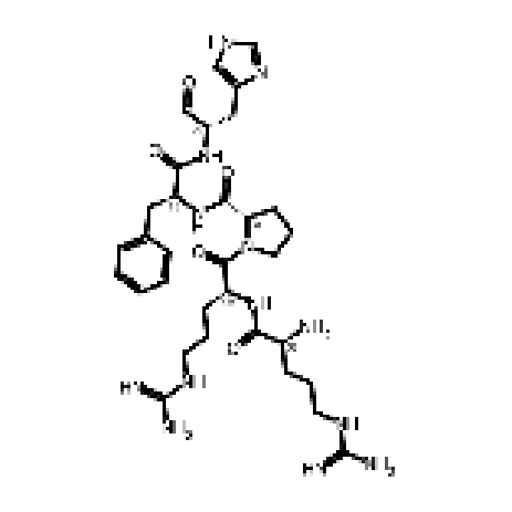 N=C(N)NCCC[C@H](NC(=O)[C@@H](N)CCCNC(=N)N)C(=O)N1CCC[C@H]1C(=O)N[C@@H](Cc1ccccc1)C(=O)N[C@H]([C]=O)Cc1c[nH]cn1